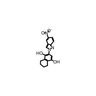 O=[N+]([O-])c1ccc2nn(-c3cc(O)c4c(c3O)CCCC4)cc2c1